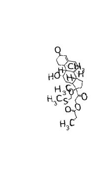 CCC(=O)OCC(=O)[C@@]1(OCSC)CC[C@H]2[C@@H]3CCC4=CC(=O)CC[C@]4(C)[C@H]3[C@@H](O)C[C@@]21C